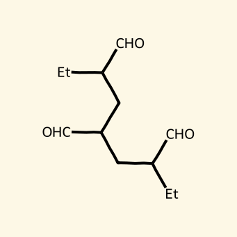 CCC(C=O)CC(C=O)CC(C=O)CC